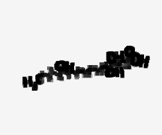 CCCCCC(O)C=CC=CC=CC=CC(O)C(O)CCCC(=O)O